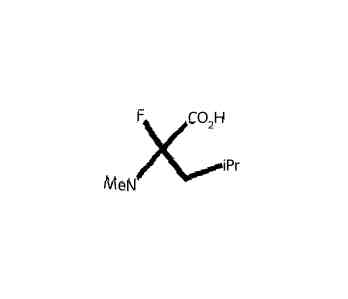 CNC(F)(CC(C)C)C(=O)O